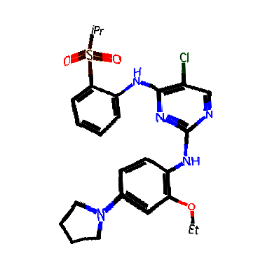 CCOc1cc(N2CCCC2)ccc1Nc1ncc(Cl)c(Nc2ccccc2S(=O)(=O)C(C)C)n1